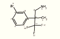 CC(CN)(c1cccc(Br)c1)C(F)(F)F